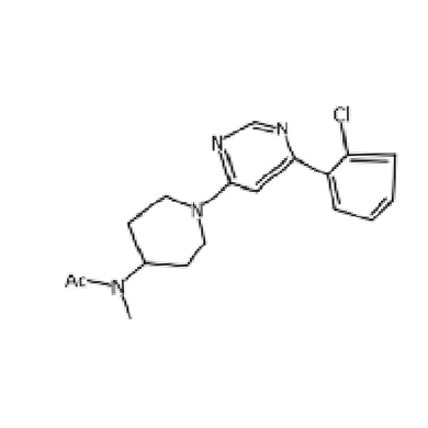 CC(=O)N(C)C1CCN(c2cc(-c3ccccc3Cl)ncn2)CC1